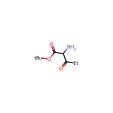 CCC(=O)C(N)C(=O)OC(C)(C)C